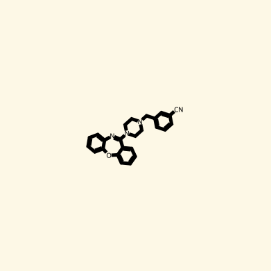 N#Cc1cccc(CN2CCN(C3=Nc4ccccc4Oc4ccccc43)CC2)c1